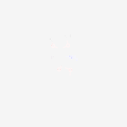 COC(OC)C(N)(C(=O)OCc1ccccc1)P(c1ccccc1)c1ccccc1